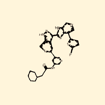 O=C(CC1CCCCC1)Nc1cncc(-c2cc3c(-c4nc5c(-c6ccc(F)s6)cncc5[nH]4)n[nH]c3cn2)c1